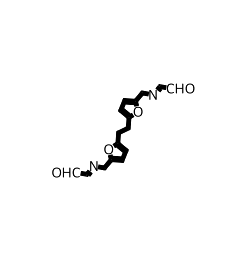 O=CC=NCc1ccc(CCc2ccc(CN=CC=O)o2)o1